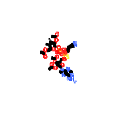 CC(=O)OCC1O[C@@H](OP(=O)(O)OP(=S)(OCCC#N)OC[C@H]2O[C@@H](n3cnc4c(N)ncnc43)C(OC(C)=O)[C@H]2OC(C)=O)C(OC(C)=O)[C@@H](C)[C@@H]1C